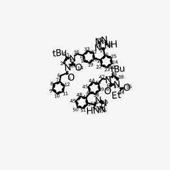 CC(C)(C)c1cn(C(=O)Cc2ccccc2)c(=O)n1Cc1ccc(-c2ccccc2-c2nnn[nH]2)cc1.CCC(=O)n1cc(C(C)(C)C)n(Cc2ccc(-c3ccccc3-c3nnn[nH]3)cc2)c1=O